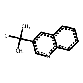 CC(C)(Cl)c1cnc2ccccc2c1